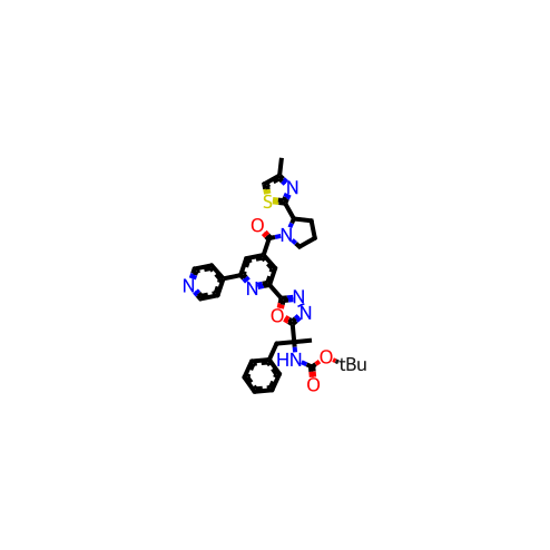 Cc1csc(C2CCCN2C(=O)c2cc(-c3ccncc3)nc(-c3nnc(C(C)(Cc4ccccc4)NC(=O)OC(C)(C)C)o3)c2)n1